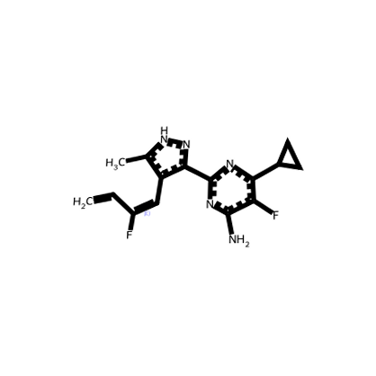 C=C/C(F)=C\c1c(-c2nc(N)c(F)c(C3CC3)n2)n[nH]c1C